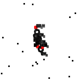 C[C@@H]1CC[C@@]2(OC1)O[C@H]1C[C@H]3[C@@H]4CC=C5C[C@@H](OS(=O)(=O)O)CC[C@]5(C)[C@H]4CC[C@]3(C)[C@H]1[C@@H]2C